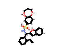 C=Cc1ccccc1[C@@H](NS(=O)(=O)c1ccc2c(c1)OCCCO2)c1cc2ccccc2o1